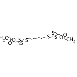 C=CC(=O)OCC1CSC(CSCCCCCCCCSCC2SCC(COC(=O)C=C)S2)S1